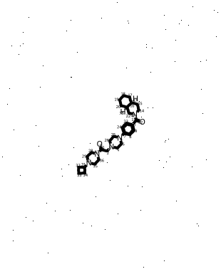 O=C(CN1CCN(c2ccc(C(=O)N3CC[C@@H]4CCCC[C@@H]4C3)cc2)CC1)N1CCN(C2CCC2)CC1